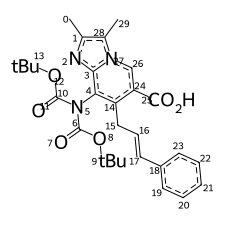 Cc1nc2c(N(C(=O)OC(C)(C)C)C(=O)OC(C)(C)C)c(CC=Cc3ccccc3)c(C(=O)O)cn2c1C